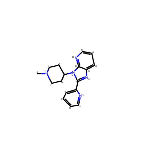 CN1CCC(n2c(-c3ccccn3)nc3cccnc32)CC1